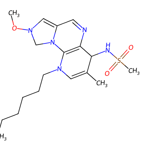 CCCCCCN1C=C(C)C(NS(C)(=O)=O)C2=C1N1CN(OC)C=C1C=N2